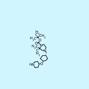 CC(C)(C)OC(=O)N1CCN(C[C@H]2CC[C@H](OC3CCNCC3)CC2)CC1(C)C